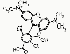 CN(C)c1ccc2c(-c3c(Cl)cc(C(=O)O)c(Cl)c3C(=O)O)c3ccc(=[N+](C)C)cc-3oc2c1